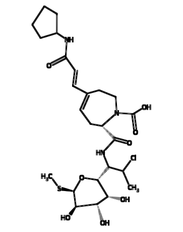 CS[C@H]1O[C@H](C(NC(=O)[C@@H]2CC=C(/C=C/C(=O)NC3CCCC3)CCN2C(=O)O)C(C)Cl)[C@H](O)[C@H](O)[C@H]1O